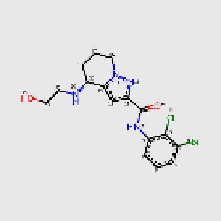 O=C(Nc1cccc(Br)c1Cl)c1cc2n(n1)CCC[C@@H]2NCCO